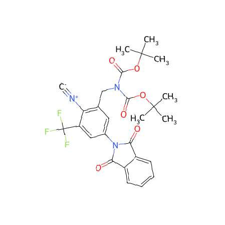 [C-]#[N+]c1c(CN(C(=O)OC(C)(C)C)C(=O)OC(C)(C)C)cc(N2C(=O)c3ccccc3C2=O)cc1C(F)(F)F